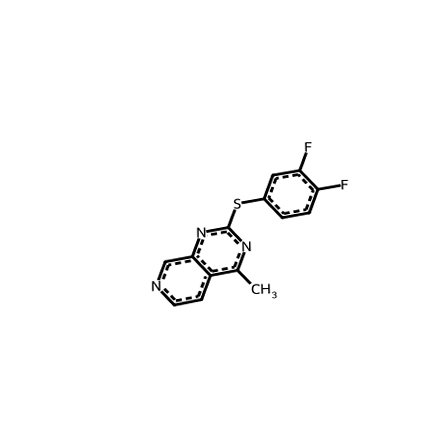 Cc1nc(Sc2ccc(F)c(F)c2)nc2cnccc12